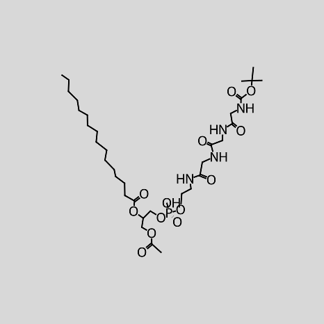 CCCCCCCCCCCCCCCC(=O)OC(COC(C)=O)COP(=O)(O)OCCNC(=O)CNC(=O)CNC(=O)CNC(=O)OC(C)(C)C